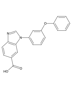 O=C(O)c1ccc2ncn(-c3cccc(Oc4ccccc4)c3)c2c1